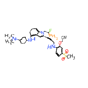 CN(C)C1CCC(NC2=c3cc(C#CCNc4ccc(S(C)(=O)=O)cc4OCC#N)n(CC(F)P)c3=CCC2)CC1